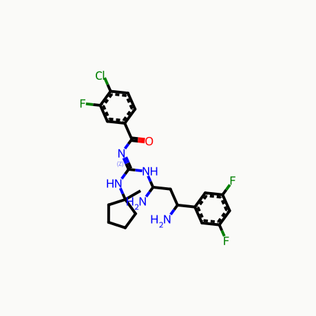 CC1(N/C(=N/C(=O)c2ccc(Cl)c(F)c2)NC(N)CC(N)c2cc(F)cc(F)c2)CCCC1